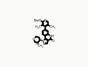 COc1ncc(C)c(-c2ccc3c(c2)[nH]c(=O)c2cnn([C@@H]4CCOC[C@@H]4C)c23)c1C